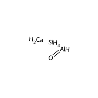 [CaH2].[O]=[AlH].[SiH4]